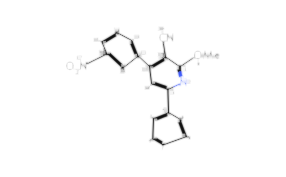 COc1nc(-c2ccccc2)cc(-c2cccc([N+](=O)[O-])c2)c1C#N